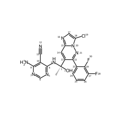 C[C@](O)(Nc1ncnc(N)c1C#N)c1cc2ncc(Cl)n2nc1-c1cccc(F)c1F